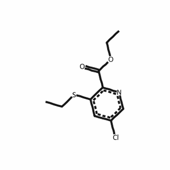 CCOC(=O)c1ncc(Cl)cc1SCC